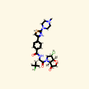 CN1CCN(c2nc(-c3ccc(C(=O)N[C@@H](CC(C)(C)F)C(=O)N4C[C@@H](Cl)[C@H]5OCC(=O)[C@H]54)cc3)cs2)CC1